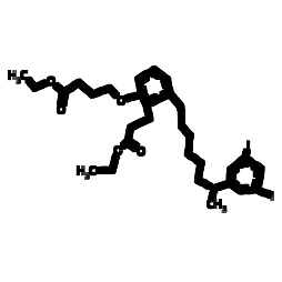 CCOC(=O)CCCOc1cccc(CCCCCCN(C)c2cc(I)cc(I)c2)c1CCC(=O)OCC